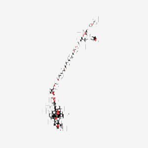 CC(C)(COP(=O)(O)OP(=O)(O)OC[C@H]1O[C@@H](n2cnc3c(N)ncnc32)[C@@H](O)C1OP(=O)(O)O)[C@@H](O)C(=O)NCCC(=O)NCCSC1CC(=O)N(CCCC(=O)CCOCCOCOCCOCOCCOCOCCOCOCCOCOCCOCCCC(=O)C(CCCCNC(=O)CCCc2ccc(C(CCCl)CCCl)cc2)NC(=O)CCCCCN2C(=O)C=CC2=O)C1=O